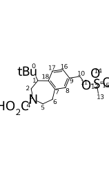 CC(C)(C)C1CN(C(=O)O)CCc2cc(COS(C)(=O)=O)ccc21